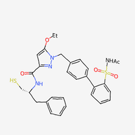 CCOc1cc(C(=O)N[C@@H](CS)Cc2ccccc2)nn1Cc1ccc(-c2ccccc2S(=O)(=O)NC(C)=O)cc1